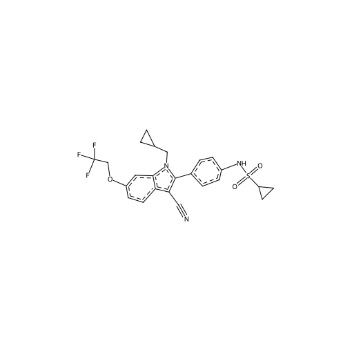 N#Cc1c(-c2ccc(NS(=O)(=O)C3CC3)cc2)n(CC2CC2)c2cc(OCC(F)(F)F)ccc12